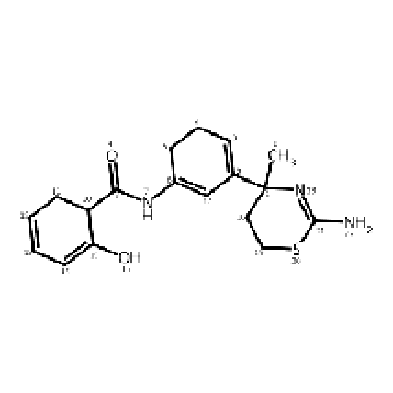 CC1(C2=CCCC(NC(=O)C3CC=CC=C3O)=C2)CCSC(N)=N1